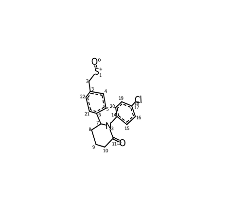 O=[S+]Cc1ccc(C2CCCC(=O)N2c2ccc(Cl)cc2)cc1